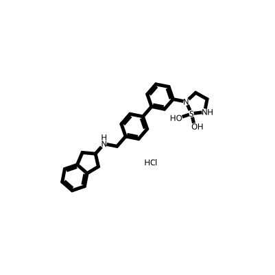 Cl.OS1(O)NCCN1c1cccc(-c2ccc(CNC3Cc4ccccc4C3)cc2)c1